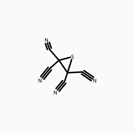 N#CC1(C#N)SC1(C#N)C#N